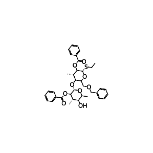 CCS[C@@H]1OC(COCc2ccccc2)[C@@H](O[C@@H]2OC(C)[C@@H](O)[C@H](C)C2OC(=O)c2ccccc2)[C@H](C)C1OC(=O)c1ccccc1